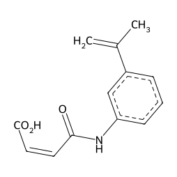 C=C(C)c1cccc(NC(=O)/C=C\C(=O)O)c1